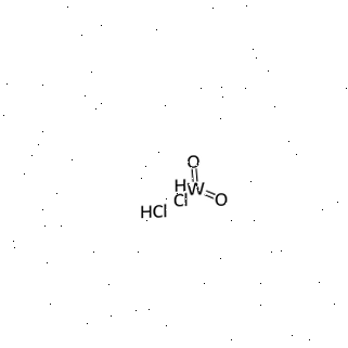 Cl.Cl.[O]=[W]=[O]